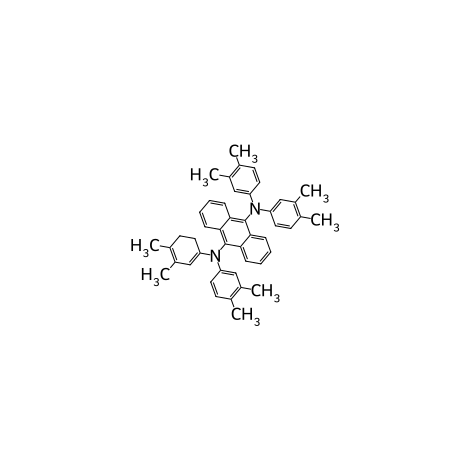 CC1=C(C)CCC(N(c2ccc(C)c(C)c2)c2c3ccccc3c(N(c3ccc(C)c(C)c3)c3ccc(C)c(C)c3)c3ccccc23)=C1